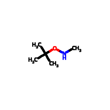 CNOC(C)(C)C